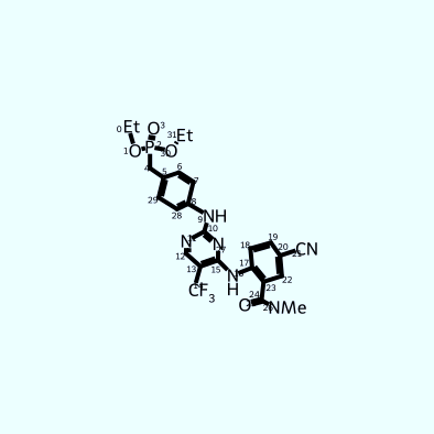 CCOP(=O)(Cc1ccc(Nc2ncc(C(F)(F)F)c(Nc3ccc(C#N)cc3C(=O)NC)n2)cc1)OCC